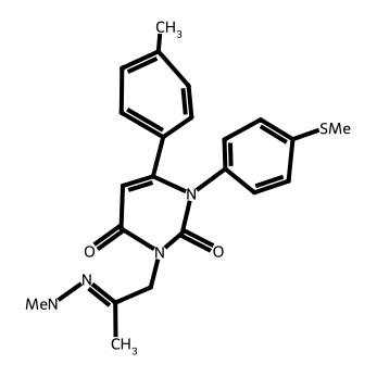 CNN=C(C)Cn1c(=O)cc(-c2ccc(C)cc2)n(-c2ccc(SC)cc2)c1=O